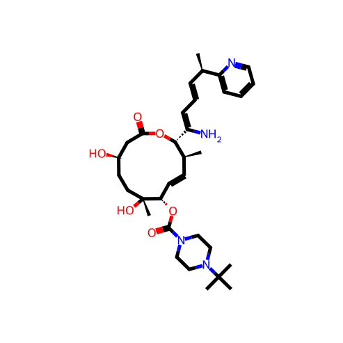 C[C@H](/C=C/C=C(\N)[C@H]1OC(=O)C[C@H](O)CC[C@@](C)(O)[C@@H](OC(=O)N2CCN(C(C)(C)C)CC2)/C=C/[C@@H]1C)c1ccccn1